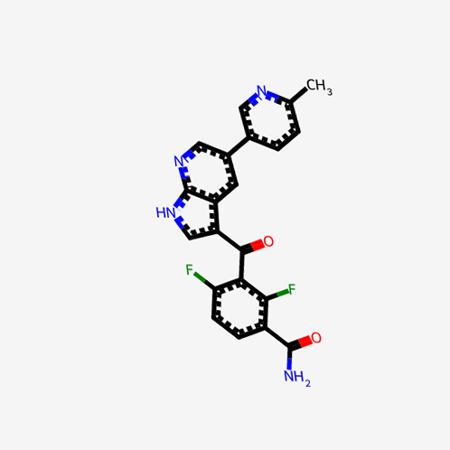 Cc1ccc(-c2cnc3[nH]cc(C(=O)c4c(F)ccc(C(N)=O)c4F)c3c2)cn1